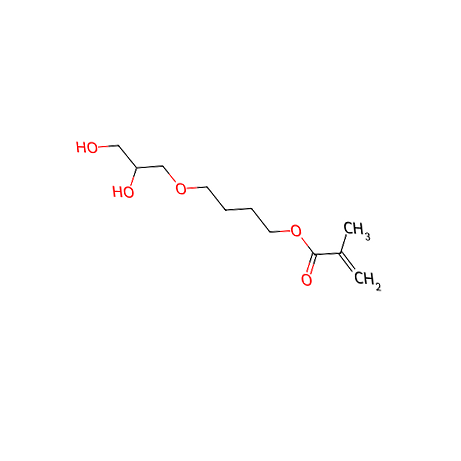 C=C(C)C(=O)OCCCCOCC(O)CO